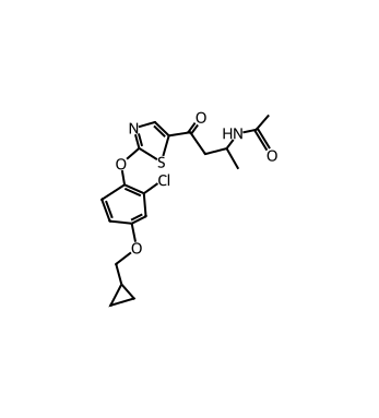 CC(=O)NC(C)CC(=O)c1cnc(Oc2ccc(OCC3CC3)cc2Cl)s1